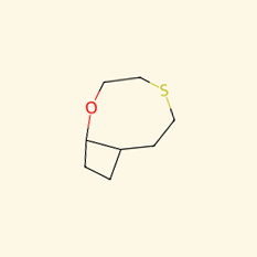 C1CSCCC2CCC2O1